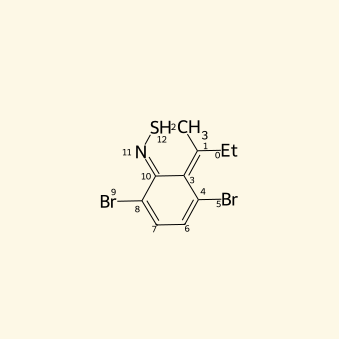 CC/C(C)=C1\C(Br)=CC=C(Br)\C1=N\S